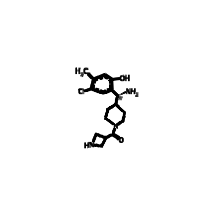 Cc1cc(O)c([C@H](N)C2CCN(C(=O)C3CNC3)CC2)cc1Cl